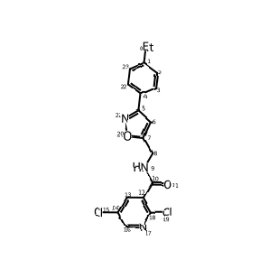 CCc1ccc(-c2cc(CNC(=O)c3cc(Cl)cnc3Cl)on2)cc1